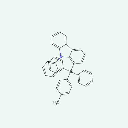 Cc1ccc([Si](c2ccccc2)(c2ccccc2)c2cccc3c4ccccc4n(-c4ccccc4)c23)cc1